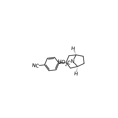 N#Cc1ccc([C@H]2C[C@H]3CC[C@@H](C2)N3C(=O)O)cc1